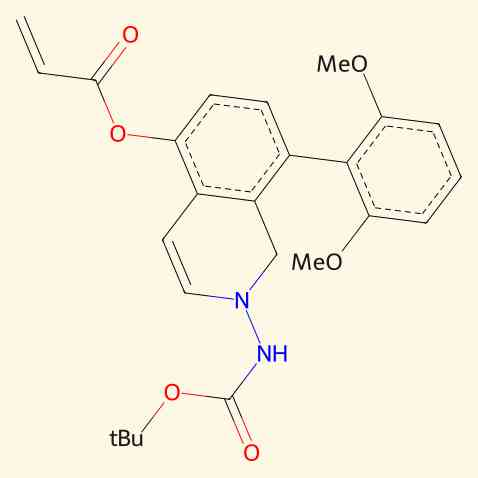 C=CC(=O)Oc1ccc(-c2c(OC)cccc2OC)c2c1C=CN(NC(=O)OC(C)(C)C)C2